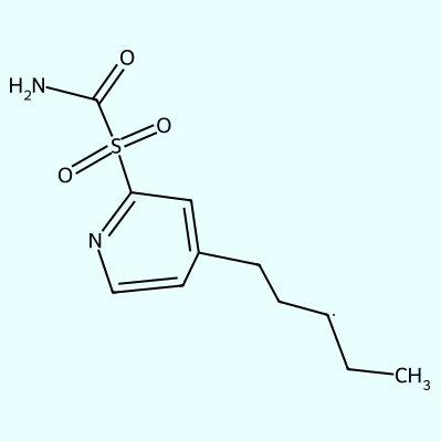 CC[CH]CCc1ccnc(S(=O)(=O)C(N)=O)c1